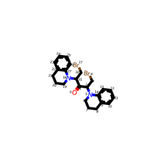 O=C(C(CBr)N1CCCc2ccccc21)C(CBr)N1CCCc2ccccc21